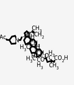 C=C(C)[C@@H]1CC[C@]2(CCN3CCC(CC(C)=O)CC3)CC[C@]3(C)[C@H](CC[C@@H]4[C@@]5(C)CC[C@H](OC(=O)CC(C)(C)CC(=O)O)C(C)(C)[C@@H]5CC[C@]43C)[C@@H]12